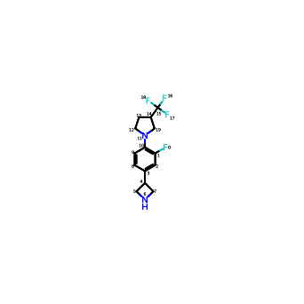 Fc1cc(C2CNC2)ccc1N1CCC(C(F)(F)F)C1